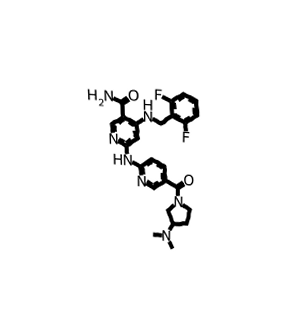 CN(C)C1CCN(C(=O)c2ccc(Nc3cc(NCc4c(F)cccc4F)c(C(N)=O)cn3)nc2)C1